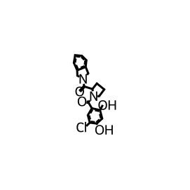 O=C(C1CCCN1C(=O)c1cc(Cl)c(O)cc1O)N1Cc2ccccc2C1